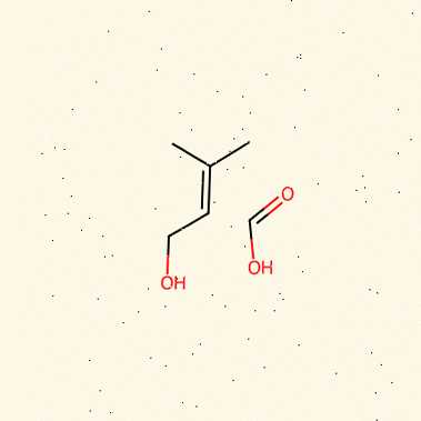 CC(C)=CCO.O=CO